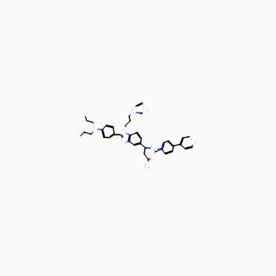 CCCN(CCC)c1ccc(-c2nc3cc(C(CC(N)=O)NCc4ccc(-c5ccncc5)cc4)ccc3n2CCCn2ccnc2)cc1